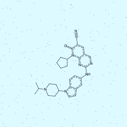 CC(C)N1CCC(n2ccc3cc(Nc4ncc5cc(C#N)c(=O)n(C6CCCC6)c5n4)ccc32)CC1